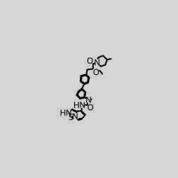 CCOC(Cc1ccc(-c2cccc(N(C)C(=O)NC3=CC=CN4SNC=C34)c2)cc1)C(=O)N1CCC(C)CC1